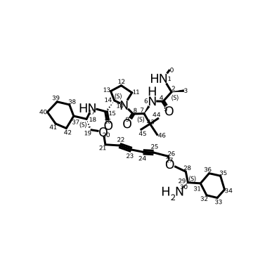 CN[C@@H](C)C(=O)N[C@H](C(=O)N1CCC[C@H]1C(=O)N[C@H](COCC#CC#CCOC[C@@H](N)C1CCCCC1)C1CCCCC1)C(C)(C)C